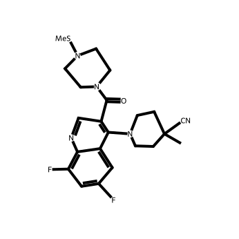 CSN1CCN(C(=O)c2cnc3c(F)cc(F)cc3c2N2CCC(C)(C#N)CC2)CC1